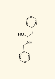 OC(Cc1ccccc1)NCc1ccccc1